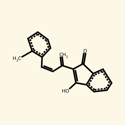 C=C(/C=C\c1ccccc1C)C1=C(O)c2ccccc2C1=O